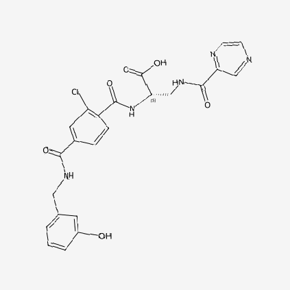 O=C(NCc1cccc(O)c1)c1ccc(C(=O)N[C@@H](CNC(=O)c2cnccn2)C(=O)O)c(Cl)c1